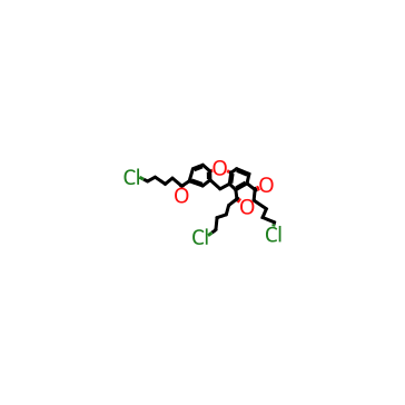 O=C(CCCCCl)c1ccc2c(c1)Cc1c(ccc(C(=O)CCCCCl)c1C(=O)CCCCCl)O2